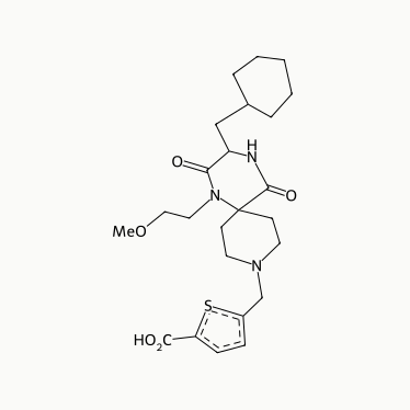 COCCN1C(=O)C(CC2CCCCC2)NC(=O)C12CCN(Cc1ccc(C(=O)O)s1)CC2